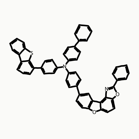 c1ccc(-c2ccc(N(c3ccc(-c4ccc5oc6ccc7oc(-c8ccccc8)nc7c6c5c4)cc3)c3ccc(-c4cccc5c4sc4ccccc45)cc3)cc2)cc1